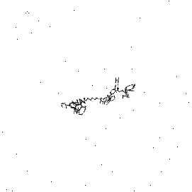 CC(=O)NCCc1c[nH]c2ccc(N(CCCCCCCCCCNc3c4c(nc5cc(Cl)ccc35)CCCC4)C(=O)O)cc12